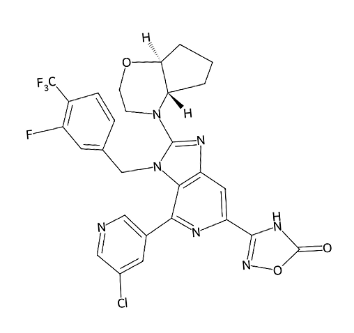 O=c1[nH]c(-c2cc3nc(N4CCO[C@H]5CCC[C@@H]54)n(Cc4ccc(C(F)(F)F)c(F)c4)c3c(-c3cncc(Cl)c3)n2)no1